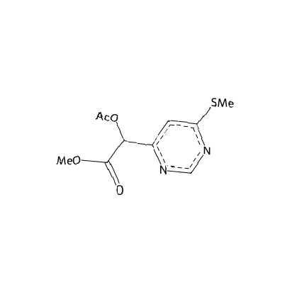 COC(=O)C(OC(C)=O)c1cc(SC)ncn1